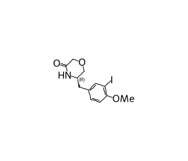 COc1ccc(C[C@@H]2COCC(=O)N2)cc1I